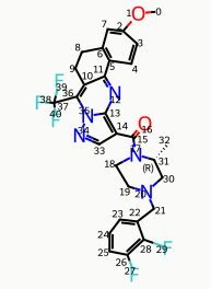 COc1ccc2c(c1)CCc1c-2nc2c(C(=O)N3CCN(Cc4cccc(F)c4F)C[C@H]3C)cnn2c1C(F)(F)F